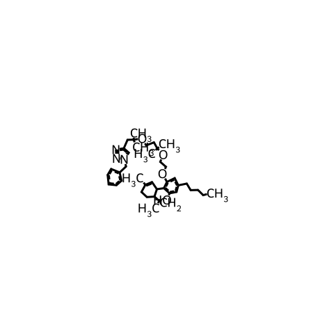 C=C(C)C1CCC(C)=CC1c1c(O)cc(CCCCC)cc1OCCOC(C)(C)CCOC(C)(C)Cc1cn(Cc2ccccc2)nn1